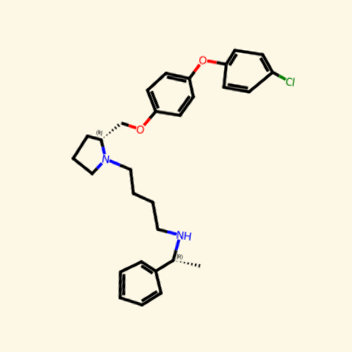 C[C@@H](NCCCCN1CCC[C@@H]1COc1ccc(Oc2ccc(Cl)cc2)cc1)c1ccccc1